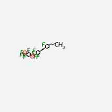 CCCCc1ccc(C#Cc2cc(F)c(C(F)(F)Oc3cc(F)c(OC(F)(F)F)c(F)c3)c(F)c2)c(F)c1